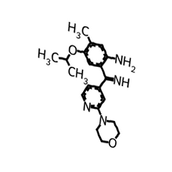 Cc1cc(N)c(C(=N)c2ccnc(N3CCOCC3)c2)cc1OC(C)C